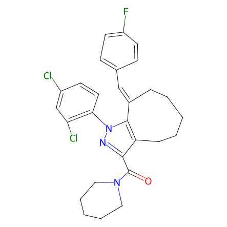 O=C(c1nn(-c2ccc(Cl)cc2Cl)c2c1CCCCC/C2=C\c1ccc(F)cc1)N1CCCCC1